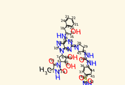 CC1NC(=O)N([C@H]2C[C@@H](n3cnc4c(N[C@H](CO)Cc5ccccc5)nc(N5CCC(NC(=O)Nc6ccc(S(N)(=O)=O)cc6)C5)nc43)[C@H](O)[C@@H]2O)C1=O